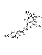 Cc1ccc2c(n1)CC[C@@H]2NC(=O)COc1cc(C(F)F)c2c(-c3cc(C)oc3C)nn(C)c2n1